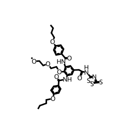 CCCCOc1ccc(C(=O)Nc2cc(CC(=O)Nc3nc(=S)ss3)cc(NC(=O)c3ccc(OCCCC)cc3)c2OCCOCCOC)cc1